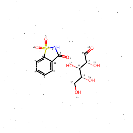 O=C1NS(=O)(=O)c2ccccc21.O=C[C@H](O)[C@@H](O)[C@H](O)CO